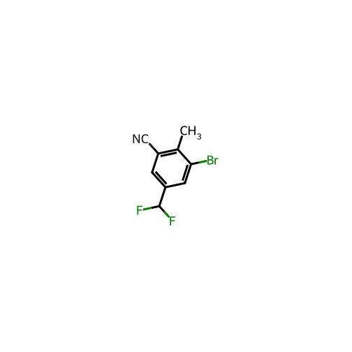 Cc1c(Br)cc(C(F)F)cc1C#N